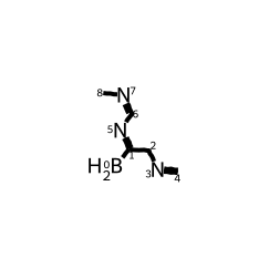 B/C(CN=C)=N/C=N\C